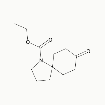 CCOC(=O)N1CCCC12CCC(=O)CC2